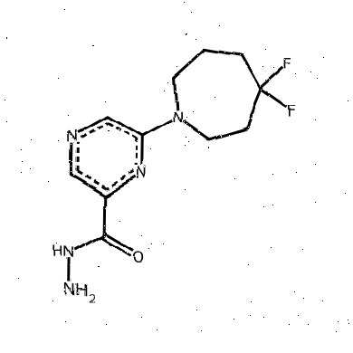 NNC(=O)c1cncc(N2CCCC(F)(F)CC2)n1